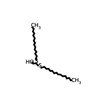 CCCCCCCCCCCCCCCCSCC(CO)SCCCCCCCCCCCCCCCC